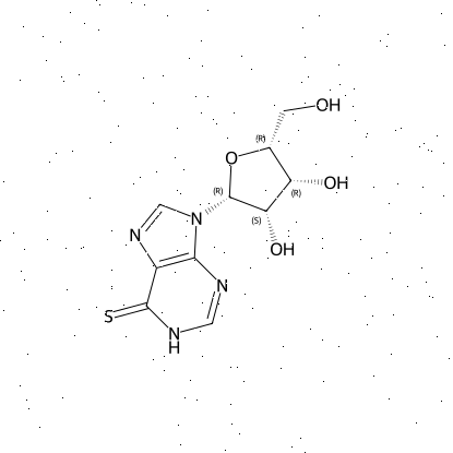 OC[C@H]1O[C@@H](n2cnc3c(=S)[nH]cnc32)[C@@H](O)[C@H]1O